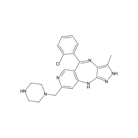 Cc1[nH]nc2c1N=C(c1ccccc1Cl)c1cnc(CN3CCNCC3)cc1N2